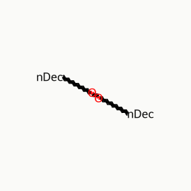 CCCCCCCCCCCCCCCCCCCCCCOCCOCCCCCCCCCCCCCCCCCCCCCC